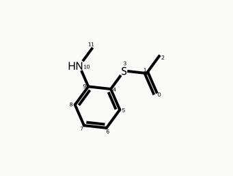 C=C(C)Sc1ccccc1NC